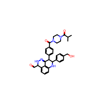 CC(C)C(=O)N1CCN(C(=O)c2ccc(C3C4=NNC(C=O)c5cccc(c54)NC3c3ccc(CO)cc3)cc2)CC1